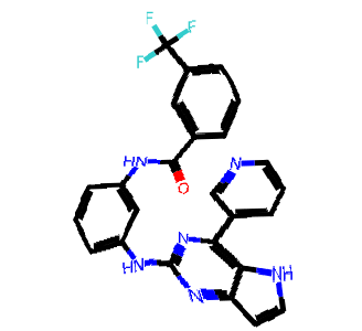 O=C(Nc1cccc(Nc2nc(-c3cccnc3)c3[nH]ccc3n2)c1)c1cccc(C(F)(F)F)c1